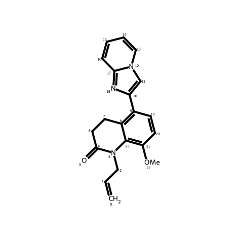 C=CCN1C(=O)CCc2c(-c3cn4ccccc4n3)ccc(OC)c21